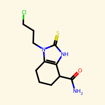 NC(=O)C1CCCc2c1[nH]c(=S)n2CCCCl